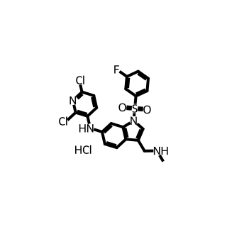 CNCc1cn(S(=O)(=O)c2cccc(F)c2)c2cc(Nc3ccc(Cl)nc3Cl)ccc12.Cl